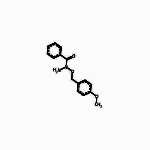 COc1ccc(CON(N)C(=O)c2ccccc2)cc1